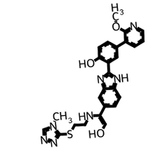 COc1ncccc1-c1ccc(O)c(-c2nc3cc(/C(=C/O)NCCSc4nncn4C)ccc3[nH]2)c1